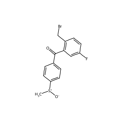 C[S+]([O-])c1ccc(C(=O)c2cc(F)ccc2CBr)cc1